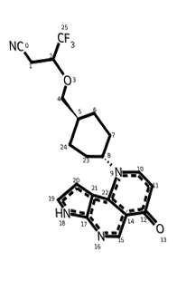 N#CCC(OC[C@H]1CC[C@H](n2ccc(=O)c3cnc4[nH]ccc4c32)CC1)C(F)(F)F